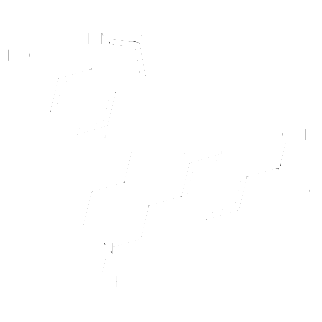 Cc1ccc(CC2CCN(C)CC2c2ccc(C(=O)O)cc2)c2cc[nH]c12